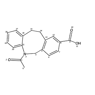 CC(=O)N1Cc2ccc(C(=O)O)cc2CCc2ccccc21